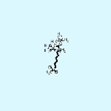 C[Si](Cl)(Cl)CCCCCC[SiH2]C(O[Si](C)(C)C)O[Si](C)(C)C